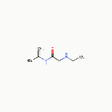 C=C(NC(=O)CNCC(C)(C)C)C(C)(C)C